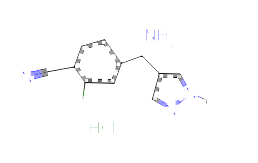 Cl.Cn1cc([C@@H](N)c2ccc(C#N)c(Cl)c2)cn1